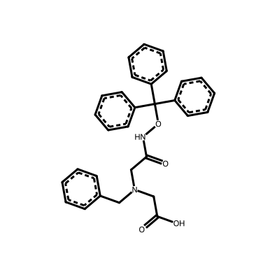 O=C(O)CN(CC(=O)NOC(c1ccccc1)(c1ccccc1)c1ccccc1)Cc1ccccc1